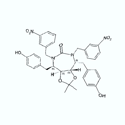 CC1(C)O[C@@H]2[C@@H](O1)[C@@H](Cc1ccc(O)cc1)N(Cc1cccc([N+](=O)[O-])c1)C(=O)N(Cc1cccc([N+](=O)[O-])c1)[C@@H]2Cc1ccc(O)cc1